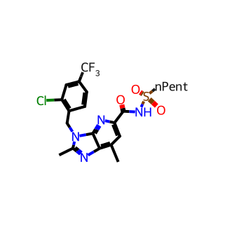 CCCCCS(=O)(=O)NC(=O)c1cc(C)c2nc(C)n(Cc3ccc(C(F)(F)F)cc3Cl)c2n1